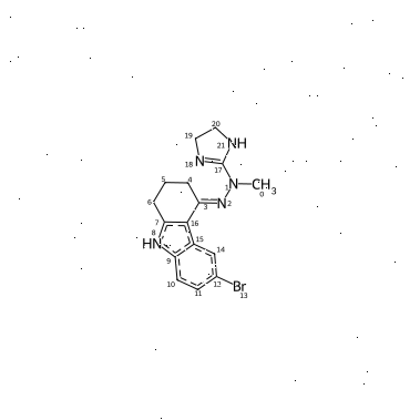 CN(N=C1CCCc2[nH]c3ccc(Br)cc3c21)C1=NCCN1